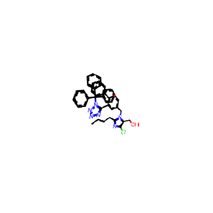 CCCCc1nc(Cl)c(CO)n1Cc1ccc(-c2ccccc2)c(-c2nnnn2C(c2ccccc2)(c2ccccc2)c2ccccc2)c1